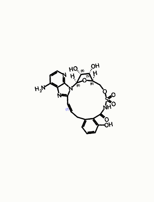 Nc1ccnc2c1nc1n2[C@@H]2O[C@H](COS(=O)(=O)NC(=O)c3c(O)cccc3C/C=C\1)[C@@H](O)[C@H]2O